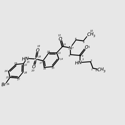 CCCNC(=O)CN(CCC)C(=O)c1cccc(S(=O)(=O)Nc2ccc(Br)cc2)c1